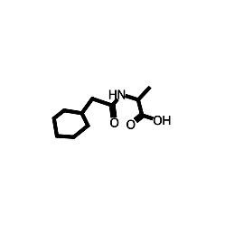 CC(NC(=O)CC1CCCCC1)C(=O)O